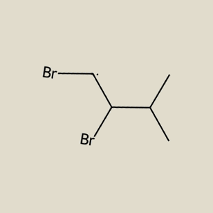 CC(C)C(Br)[CH]Br